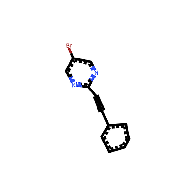 Brc1cnc(C#Cc2ccccc2)nc1